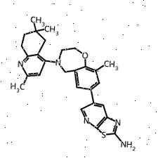 Cc1cc(N2CCOc3c(C)cc(-c4cnc5sc(N)nc5c4)cc3C2)c2c(n1)CCC(C)(C)C2